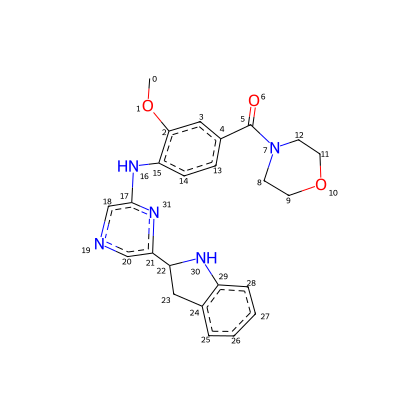 COc1cc(C(=O)N2CCOCC2)ccc1Nc1cncc(C2Cc3ccccc3N2)n1